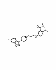 Cc1ccc2c(C3CCN(CCCOc4ccc5c(c4)C(=O)N(C)CC5C)CC3)noc2c1